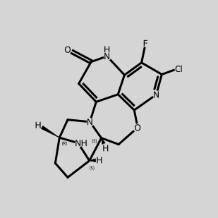 O=c1cc2c3c(nc(Cl)c(F)c3[nH]1)OC[C@@H]1[C@@H]3CC[C@H](CN21)N3